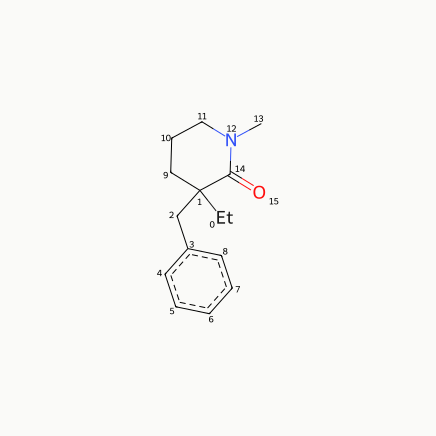 CCC1(Cc2ccccc2)CCCN(C)C1=O